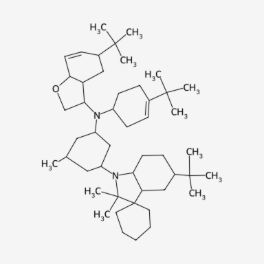 CC1CC(N(C2CC=C(C(C)(C)C)CC2)C2COC3C=CC(C(C)(C)C)CC32)CC(N2C3CCC(C(C)(C)C)CC3C3(CCCCC3)C2(C)C)C1